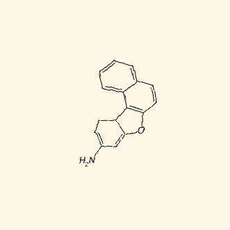 NC1=CCC2C(=C1)Oc1ccc3ccccc3c12